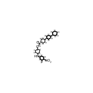 Cc1cc(NC2CCC(OCC(=O)N3CCC(c4ccc(-c5ccccc5)cc4)CC3)CC2)ccc1[N+](=O)[O-]